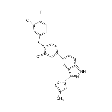 Cn1cc(-c2n[nH]c3ccc(-c4ccn(Cc5ccc(F)c(Cl)c5)c(=O)c4)cc23)cn1